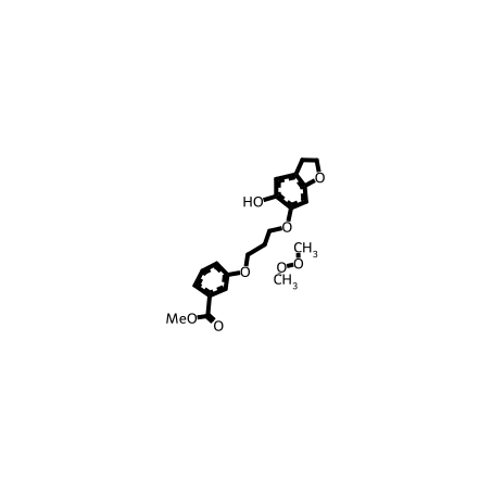 COC(=O)c1cccc(OCCCOc2cc3c(cc2O)CCO3)c1.COOC